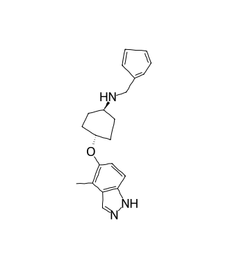 Cc1c(O[C@H]2CC[C@H](NCc3ccccc3)CC2)ccc2[nH]ncc12